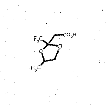 CC1COC(CC(=O)O)(C(F)(F)F)O1